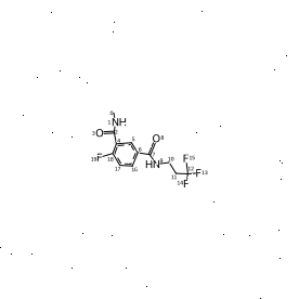 CNC(=O)c1cc(C(=O)NCCC(F)(F)F)ccc1F